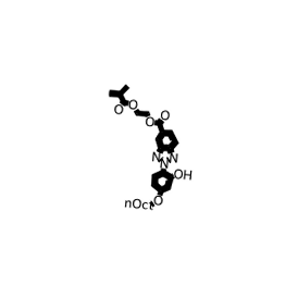 C=C(C)C(=O)OCCOC(=O)c1ccc2nn(-c3ccc(OCCCCCCCC)cc3O)nc2c1